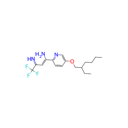 CCCCC(CC)COc1ccc(/C(N)=C/C(=N)C(F)(F)F)nc1